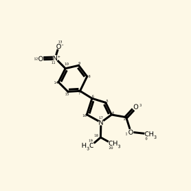 COC(=O)c1cc(-c2ccc([N+](=O)[O-])cc2)cn1C(C)C